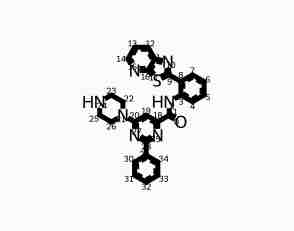 O=C(Nc1ccccc1-c1nc2cccnc2s1)c1cc(N2CCNCC2)nc(-c2ccccc2)n1